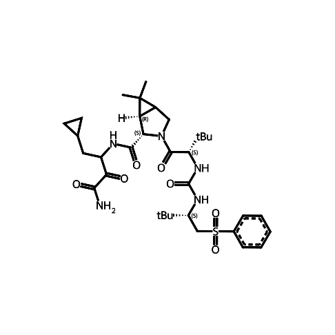 CC(C)(C)[C@H](NC(=O)N[C@H](CS(=O)(=O)c1ccccc1)C(C)(C)C)C(=O)N1CC2[C@@H]([C@H]1C(=O)NC(CC1CC1)C(=O)C(N)=O)C2(C)C